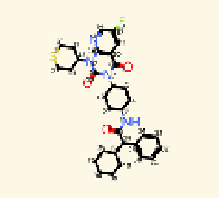 O=C(N[C@H]1CC[C@@H](n2c(=O)c3cc(F)cnc3n(C3CCSCC3)c2=O)CC1)C(c1ccccc1)C1CCCCC1